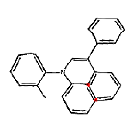 Cc1ccccc1N(C=C(c1ccccc1)c1ccccc1)c1ccccc1